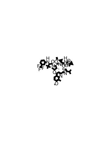 C=C[C@@H]1C[C@]1(NC(=O)[C@@H]1[C@H](C)[C@@H](Oc2cc(-c3nc(C(C)C)cs3)nc3c(C)c(OC)ccc23)CN1C(=O)[C@@H](Nc1cccc(C(F)(F)F)c1)C(C)(C)C)C(=O)NS(=O)(=O)C1(C)CC1